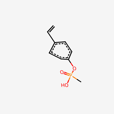 C=Cc1ccc(OP(C)(=O)O)cc1